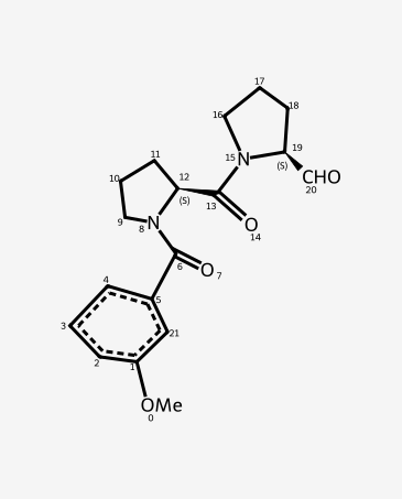 COc1cccc(C(=O)N2CCC[C@H]2C(=O)N2CCC[C@H]2C=O)c1